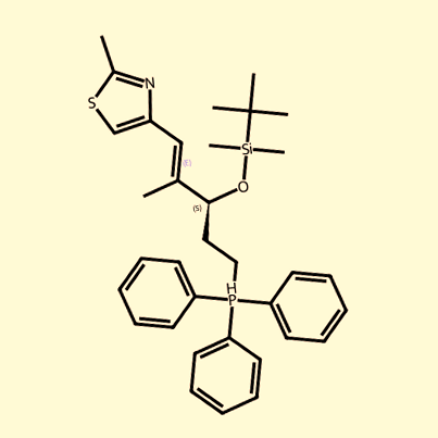 C/C(=C\c1csc(C)n1)[C@H](CC[PH](c1ccccc1)(c1ccccc1)c1ccccc1)O[Si](C)(C)C(C)(C)C